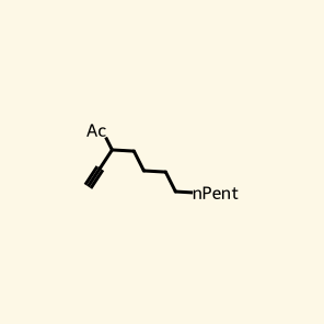 C#CC(CCCCCCCCC)C(C)=O